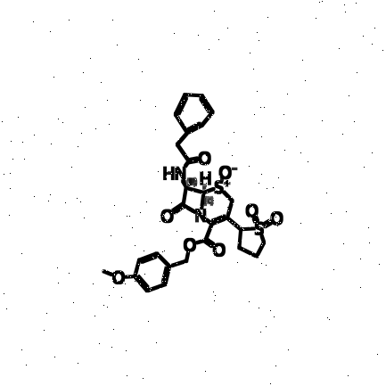 COc1ccc(COC(=O)C2=C(C3CCCS3(=O)=O)C[S+]([O-])[C@@H]3[C@H](NC(=O)Cc4ccccc4)C(=O)N23)cc1